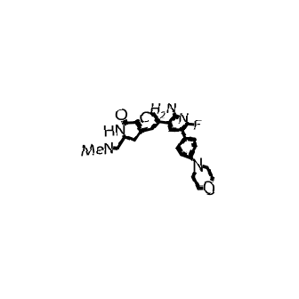 CNCC1Cc2cc(-c3cc(-c4ccc(N5CCOCC5)cc4)c(F)nc3N)ccc2C(=O)N1